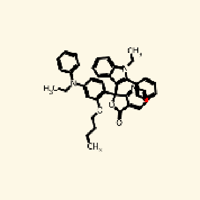 CCCCOc1cc(N(CC)c2ccccc2)ccc1C1(c2c(-c3ccccc3)n(CC)c3ccccc23)OC(=O)c2cccnc21